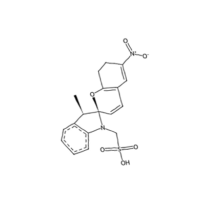 C[C@@H]1c2ccccc2N(CS(=O)(=O)O)[C@@]12C=CC1=C(CCC([N+](=O)[O-])=C1)O2